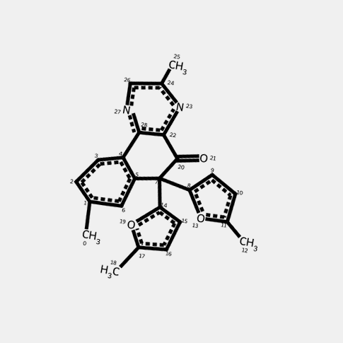 Cc1ccc2c(c1)C(c1ccc(C)o1)(c1ccc(C)o1)C(=O)c1nc(C)cnc1-2